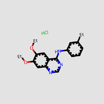 CCOc1cc2ncnc(Nc3cccc(CC)c3)c2cc1OCC.Cl